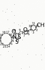 Cc1ccc(-c2ccc(CC3SC(=S)N(C4CCCCCCCCCCC4)C3=O)o2)cc1